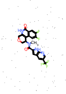 CN(C(=O)c1cc2cc(C(F)(F)F)cnc2[nH]1)C1COCc2[nH]c(=O)c3cc(F)c(F)cc3c21